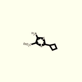 CCOC(=O)c1nc(C2CCC2)sc1N